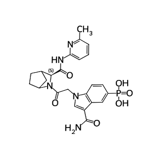 Cc1cccc(NC(=O)[C@@H]2C3CCC(C3)N2C(=O)Cn2cc(C(N)=O)c3cc(P(=O)(O)O)ccc32)n1